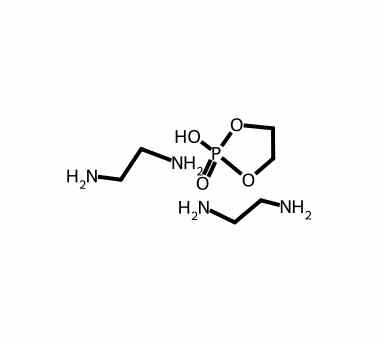 NCCN.NCCN.O=P1(O)OCCO1